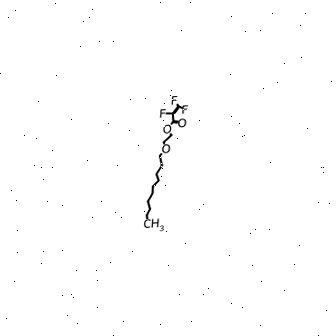 CCCCCCCCCCOCCOC(=O)C(F)=C(F)F